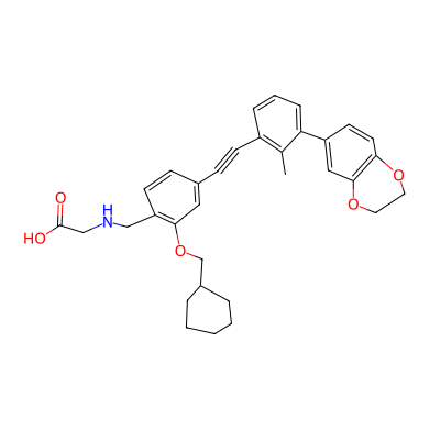 Cc1c(C#Cc2ccc(CNCC(=O)O)c(OCC3CCCCC3)c2)cccc1-c1ccc2c(c1)OCCO2